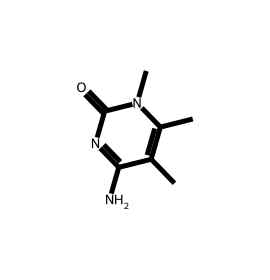 Cc1c(N)nc(=O)n(C)c1C